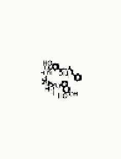 CC(C)(C)NCC(O)COc1cccc2c1C[C@H](O)[C@H](O)C2.CC(CCc1ccccc1)NCC(O)c1ccc(O)c(C(N)=O)c1